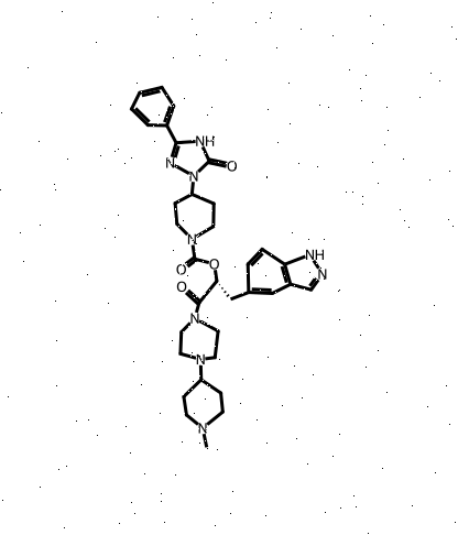 CN1CCC(N2CCN(C(=O)[C@@H](Cc3ccc4[nH]ncc4c3)OC(=O)N3CCC(n4nc(-c5ccccc5)[nH]c4=O)CC3)CC2)CC1